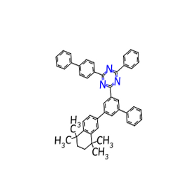 CC1(C)CCC(C)(C)c2cc(-c3cc(-c4ccccc4)cc(-c4nc(-c5ccccc5)nc(-c5ccc(-c6ccccc6)cc5)n4)c3)ccc21